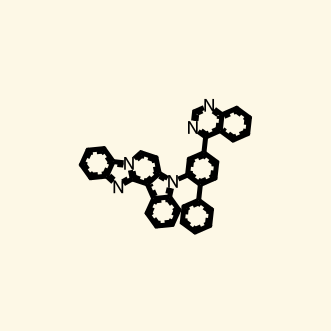 c1ccc(-c2ccc(-c3ncnc4ccccc34)cc2-n2c3ccccc3c3c2ccn2c4ccccc4nc32)cc1